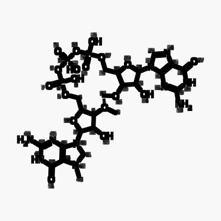 COC1C(COP(=O)(O)OP(=O)(O)OP(=O)(O)OCC2OC(n3cnc4c(=O)[nH]c(N)nc43)C(O)C2OC)OC(N2CN(C)c3c2nc(N)[nH]c3=O)C1O